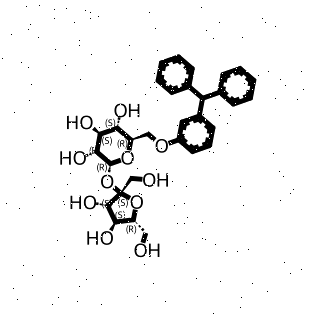 OC[C@H]1O[C@@](CO)(O[C@H]2O[C@H](COc3cccc(C(c4ccccc4)c4ccccc4)c3)[C@@H](O)[C@H](O)[C@H]2O)[C@@H](O)[C@@H]1O